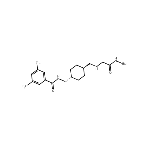 CCC(C)NC(=O)CNC[C@H]1CC[C@H](CNC(=O)c2cc(C(F)(F)F)cc(C(F)(F)F)c2)CC1